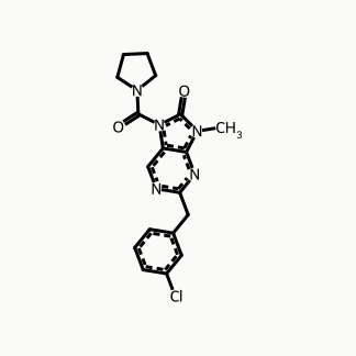 Cn1c(=O)n(C(=O)N2CCCC2)c2cnc(Cc3cccc(Cl)c3)nc21